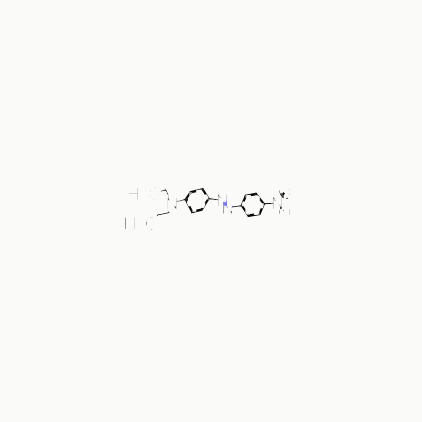 CCCN(CC)c1ccc(/N=N/c2ccc([N+](=O)[O-])cc2)cc1